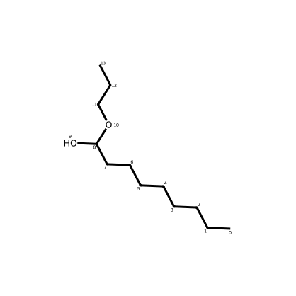 CCCCCCCCC(O)OCCC